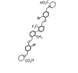 Cc1c(COc2ccc(CN3CCCC[C@H]3C(=O)O)cc2Br)cccc1-c1cccc(COc2ccc(CN3CCCC[C@H]3C(=O)O)cc2Br)c1C(F)(F)F